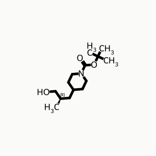 C[C@@H](CO)CC1CCN(C(=O)OC(C)(C)C)CC1